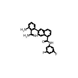 N=C(N)c1c(N)cccc1-c1ccc2c(C(=O)Nc3cc(F)cc(F)c3)cccc2c1